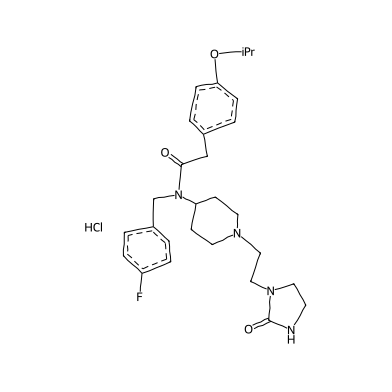 CC(C)Oc1ccc(CC(=O)N(Cc2ccc(F)cc2)C2CCN(CCN3CCNC3=O)CC2)cc1.Cl